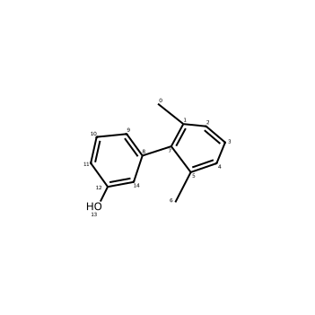 Cc1cccc(C)c1-c1cccc(O)c1